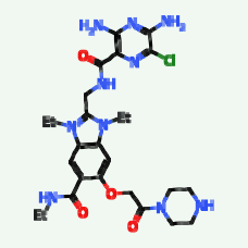 CCNC(=O)c1cc2c(cc1OCC(=O)N1CCNCC1)n(CC)c(CNC(=O)c1nc(Cl)c(N)nc1N)[n+]2CC